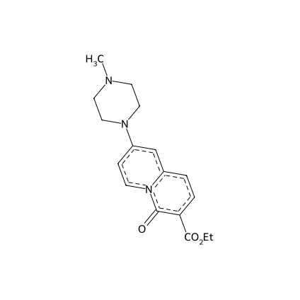 CCOC(=O)c1ccc2cc(N3CCN(C)CC3)ccn2c1=O